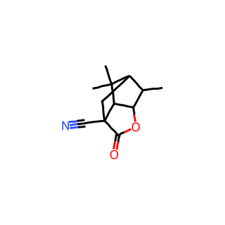 CC1C2OC(=O)C3(C#N)CC1C(C)(C)C23